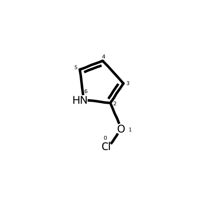 ClOc1ccc[nH]1